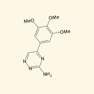 COc1cc(-c2cnnc(N)n2)cc(OC)c1OC